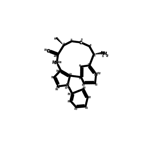 C[C@@H]1CCC[C@H](N)c2cc(ccn2)-c2c(cnn2-c2ccccc2)NC1=O